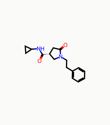 O=C(NC1CC1)[C@@H]1CC(=O)N(CCc2ccccc2)C1